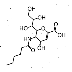 CCCCCC(=O)NC1C(C(O)C(O)CO)OC(C(=O)O)=C[C@H]1O